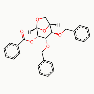 O=C(O[C@@H]1[C@@H]2OC[C@@H](O2)[C@@H](OCc2ccccc2)[C@@H]1OCc1ccccc1)c1ccccc1